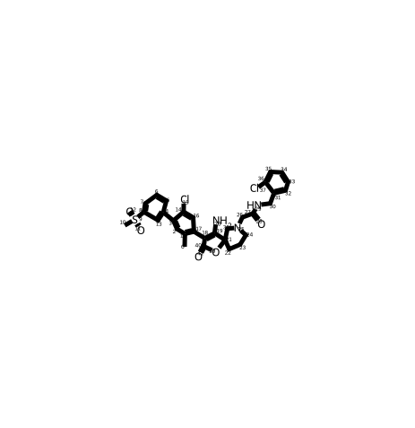 Cc1cc(-c2cccc(S(C)(=O)=O)c2)c(Cl)cc1C1=C(N)C2(CCCN(CC(=O)NCc3ccccc3Cl)C2)OC1=O